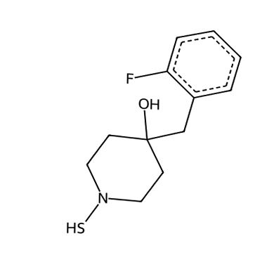 OC1(Cc2ccccc2F)CCN(S)CC1